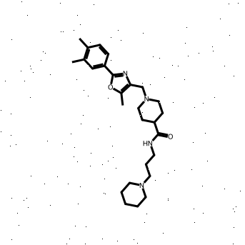 Cc1ccc(-c2nc(CN3CCC(C(=O)NCCCN4CCCCC4)CC3)c(C)o2)cc1C